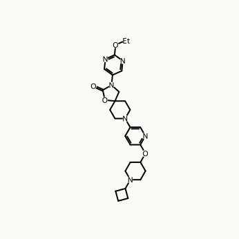 CCOc1ncc(N2CC3(CCN(c4ccc(OC5CCN(C6CCC6)CC5)nc4)CC3)OC2=O)cn1